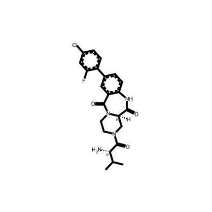 CC(C)[C@H](N)C(=O)N1CCN2C(=O)c3cc(-c4ccc(Cl)cc4F)ccc3NC(=O)[C@H]2C1